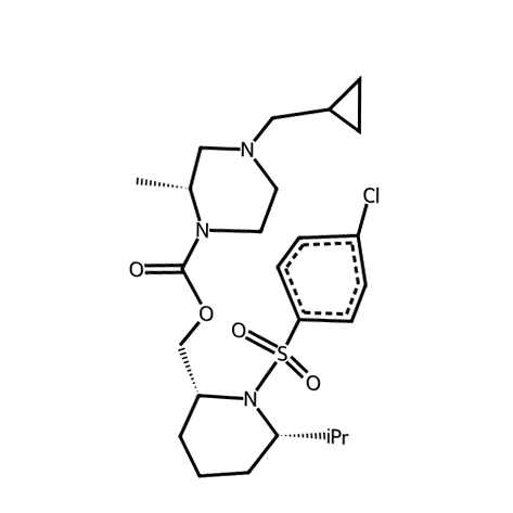 CC(C)[C@@H]1CCC[C@H](COC(=O)N2CCN(CC3CC3)C[C@H]2C)N1S(=O)(=O)c1ccc(Cl)cc1